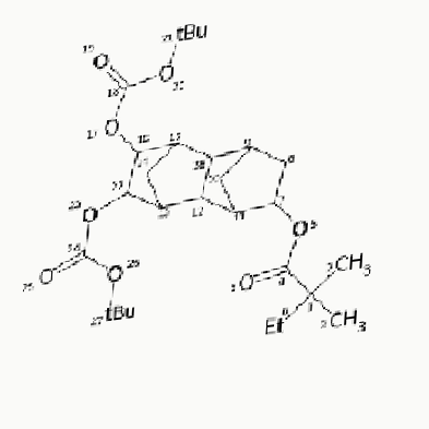 CCC(C)(C)C(=O)OC1CC2CC1C1C3CC(C(OC(=O)OC(C)(C)C)C3OC(=O)OC(C)(C)C)C21